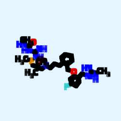 CNC(=N)NCc1ccc(F)cc1OCc1ccccc1CCCN(C=O)CC(C)(C)CP(C)NC(=N)NC(=O)NC